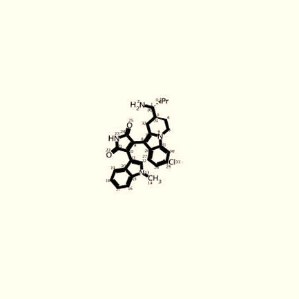 CC(C)[C@@H](N)[C@H]1CCn2c(c(C3=C(c4cn(C)c5ccccc45)C(=O)NC3=O)c3ccccc32)C1.Cl